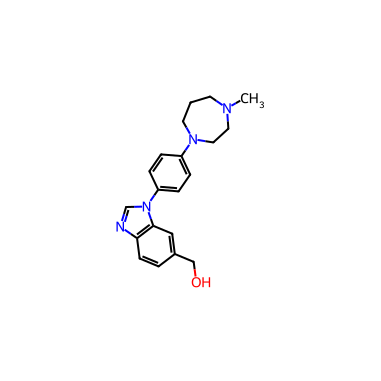 CN1CCCN(c2ccc(-n3cnc4ccc(CO)cc43)cc2)CC1